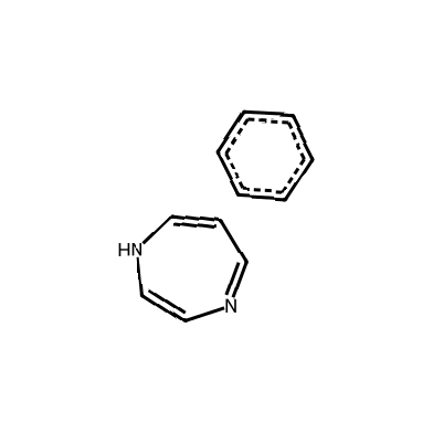 C1=CNC=CN=C1.c1ccccc1